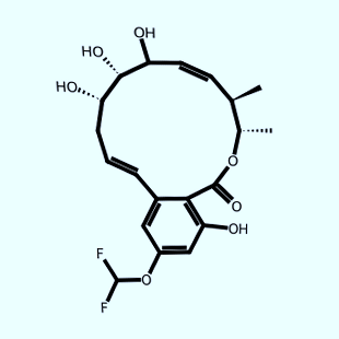 C[C@@H]1/C=C\C(O)[C@@H](O)[C@@H](O)C/C=C/c2cc(OC(F)F)cc(O)c2C(=O)O[C@H]1C